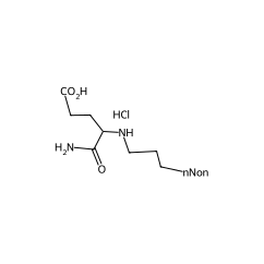 CCCCCCCCCCCCNC(CCC(=O)O)C(N)=O.Cl